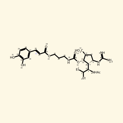 CCC(CC)[C@H](NC(C)=O)[C@H]1C(NC(=N)N)C[C@H](C(=O)O)[C@H]1OC(=O)NCCCOC(=O)/C=C/c1ccc(O)c(O)c1